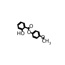 COc1ccc(OC(=O)c2ccccc2O)cc1